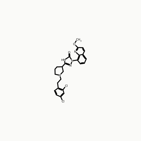 COc1ccc2cccc(-n3nc(C4CCCN(CCc5ccc(Cl)cc5Cl)C4)[nH]c3=O)c2n1